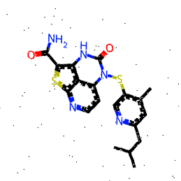 Cc1cc(CC(C)C)ncc1SN1C(=O)Nc2c(C(N)=O)sc3nccc1c23